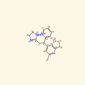 Ic1cc2c(c(C(CC3=NCCN3)c3ccccn3)c1)OCC2